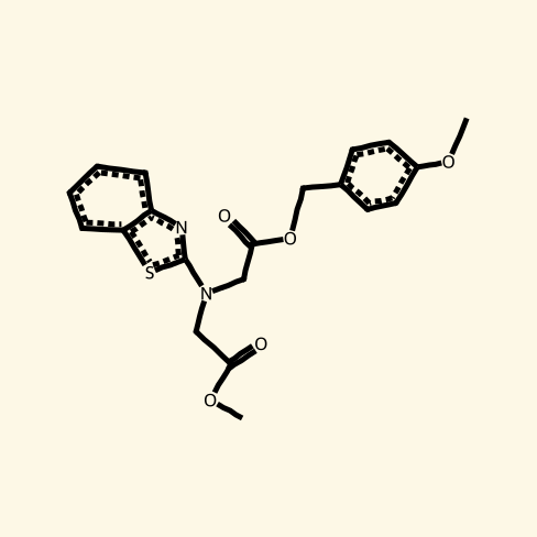 COC(=O)CN(CC(=O)OCc1ccc(OC)cc1)c1nc2ccccc2s1